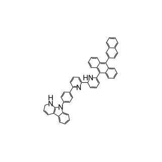 C1=CC(c2cccc(-c3ccc(-n4c5c(c6ccccc64)C=CCN5)cc3)n2)NC(c2c3ccccc3c(-c3ccc4ccccc4c3)c3ccccc23)=C1